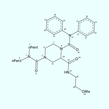 CCCCCN(CCCCC)C(=O)N1CCN(C(=O)N(c2ccccc2)c2ccccc2)C(C(=O)NCCOC)C1